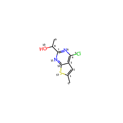 Cc1cc2c(Cl)nc(C(C)O)nc2s1